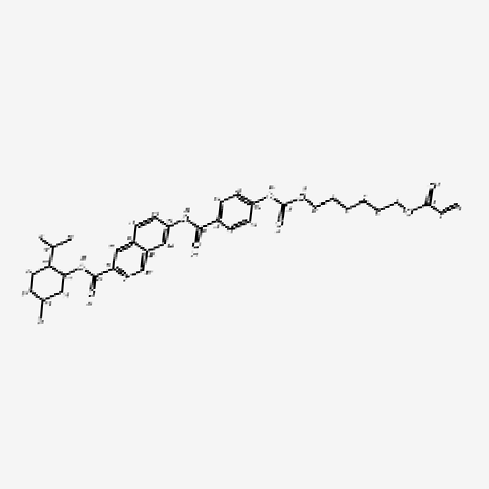 C=CC(=O)OCCCCCCOC(=O)Oc1ccc(C(=O)Oc2ccc3cc(C(=O)OC4CC(C)CCC4C(C)C)ccc3c2)cc1